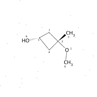 CO[C@]1(C)C[C@H](O)C1